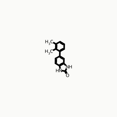 Cc1cccc(-c2ccc3[nH]c(=O)[nH]c3c2)c1C